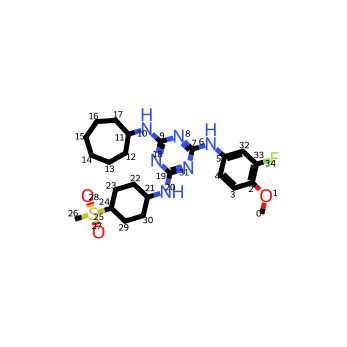 COc1ccc(Nc2nc(NC3CCCCCC3)nc(NC3CCC(S(C)(=O)=O)CC3)n2)cc1F